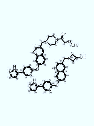 COCC(=O)N1CCN(Cc2cnc3cc(Oc4ccc(-c5ccn[nH]5)cn4)ccc3c2)CC1.OC1CN(Cc2cnc3cc(Oc4ccc(-c5ccn[nH]5)cn4)ccc3c2)C1